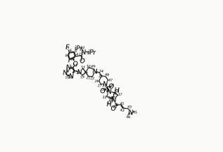 CC(C)N(C(=O)c1cc(F)ccc1Oc1nncnc1N1CC2(CCN(CC3CCN(S(=O)(=O)N4C[C@@H]5C[C@H]4CN5C(=O)/C=C/CN(C)C)CC3)CC2)C1)C(C)C